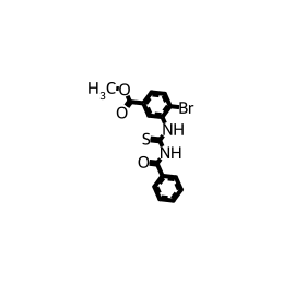 COC(=O)c1ccc(Br)c(NC(=S)NC(=O)c2ccccc2)c1